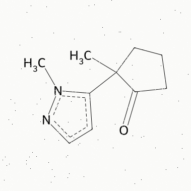 Cn1nccc1C1(C)CCCC1=O